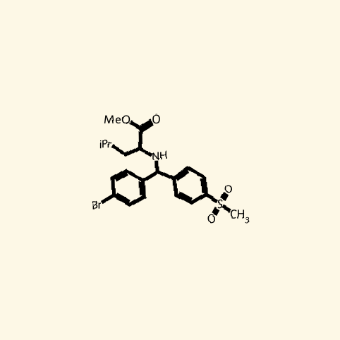 COC(=O)C(CC(C)C)NC(c1ccc(Br)cc1)c1ccc(S(C)(=O)=O)cc1